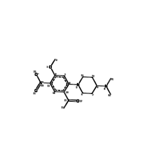 COc1cc(N2CCC(N(C)C)CC2)c(C(C)=O)cc1[N+](=O)[O-]